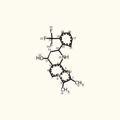 Cc1nc2c3c(ccn2c1C)C(O)CC(c1ccccc1C(F)(F)F)N3